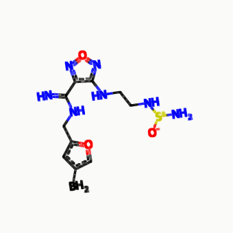 Bc1coc(CNC(=N)c2nonc2NCCN[S+](N)[O-])c1